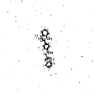 Nc1ccccc1NC(=O)c1ccc(NCc2nc3ccccc3[nH]2)cc1